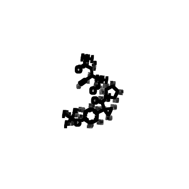 C#CC(CC(N)=O)NC(=O)[C@@H]1CCCN1C(=O)C1(c2ccc(OC(F)(F)F)cc2)CC1